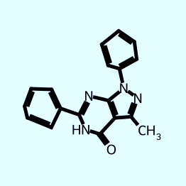 Cc1nn(-c2ccccc2)c2nc(-c3ccccc3)[nH]c(=O)c12